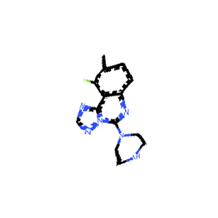 Cc1ccc2nc(N3CCNCC3)n3ncnc3c2c1F